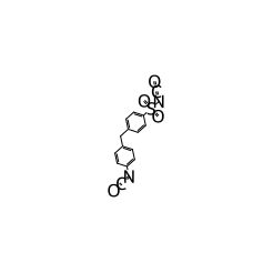 O=C=Nc1ccc(Cc2ccc(S(=O)(=O)N=C=O)cc2)cc1